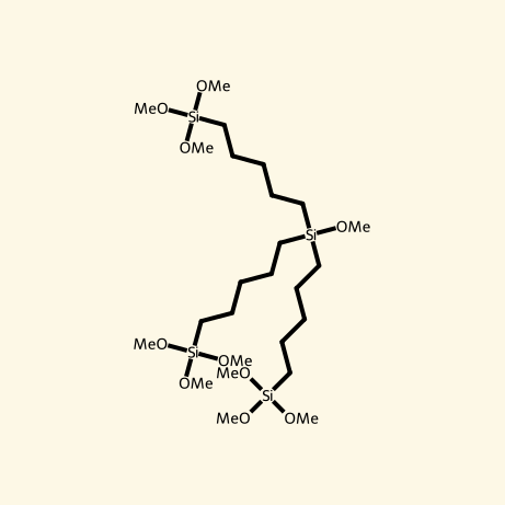 CO[Si](CCCCC[Si](OC)(OC)OC)(CCCCC[Si](OC)(OC)OC)CCCCC[Si](OC)(OC)OC